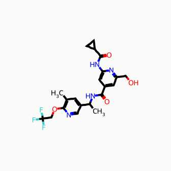 Cc1cc(C(C)NC(=O)c2cc(CO)nc(NC(=O)C3CC3)c2)cnc1OCC(F)(F)F